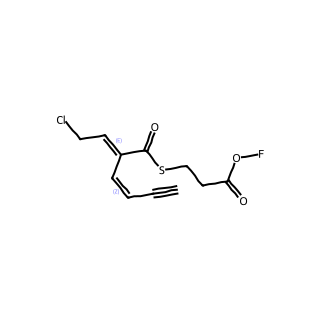 C#C/C=C\C(=C/CCl)C(=O)SCCC(=O)OF